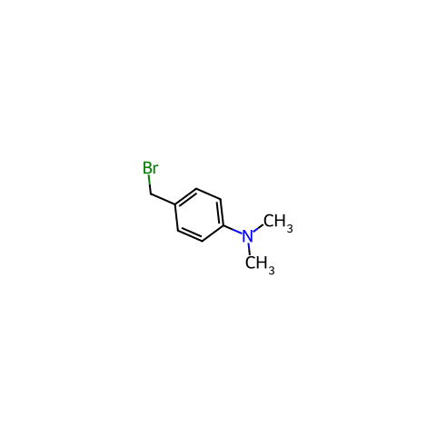 CN(C)c1ccc(CBr)cc1